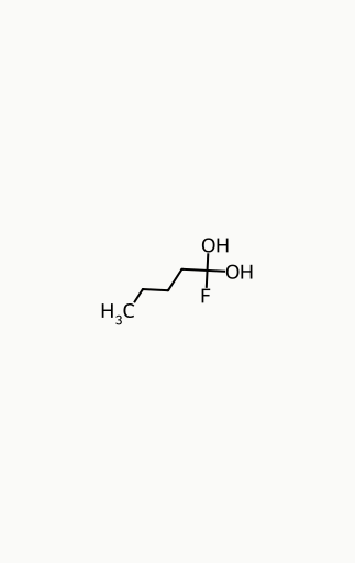 CCCCC(O)(O)F